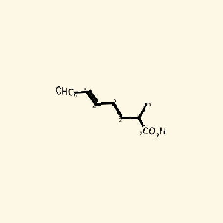 CC(CCC=CC=O)C(=O)O